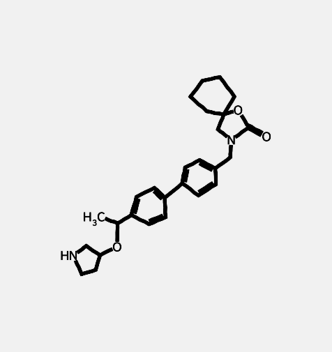 CC(OC1CCNC1)c1ccc(-c2ccc(CN3CC4(CCCCC4)OC3=O)cc2)cc1